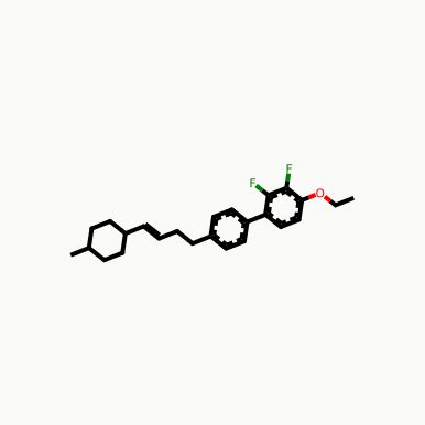 CCOc1ccc(-c2ccc(CCC=CC3CCC(C)CC3)cc2)c(F)c1F